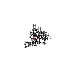 NC(N)C(/C1=C2\CCCCC2CCC(F)CN1)C(O)NC1CNCC(F)(C2CCCCC2)C1N1CCC(C(=O)N2CCC(N3CCCCC3)C2)CC1